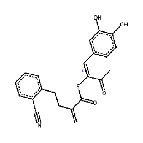 C=C(CCc1ccccc1C#N)C(=O)S/C(=C/c1ccc(O)c(O)c1)C(C)=O